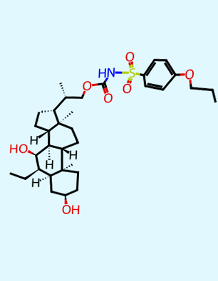 CCCOc1ccc(S(=O)(=O)NC(=O)OC[C@@H](C)[C@H]2CC[C@H]3[C@@H]4[C@H](O)[C@H](CC)[C@@H]5C[C@H](O)CC[C@]5(C)[C@H]4CC[C@]23C)cc1